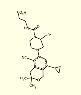 CC(C)C1CN(c2cc(C3CC3)c3c(c2C#N)CC(C)(C)OC3)CCN1C(=O)NCCC(=O)O